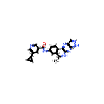 C[C@H](Nc1cnc2cn[nH]c2n1)c1cccc(NC(=O)c2cncc(C3CC3)c2)c1